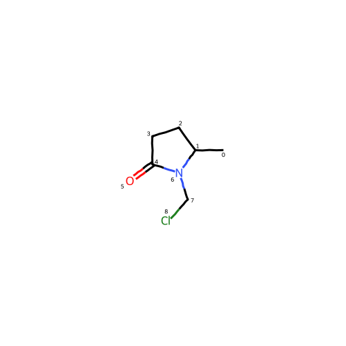 CC1CCC(=O)N1CCl